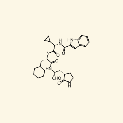 O=C[C@H](C[C@@H]1CCNC1=O)NC(=O)[C@H](CC1CCCCC1)NC(=O)[C@@H](NC(=O)c1cc2ccccc2[nH]1)C1CC1